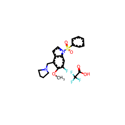 COc1c(F)cc2c(ccn2S(=O)(=O)c2ccccc2)c1CN1CCCC1.O=C(O)C(F)(F)F